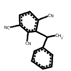 [CH2]C(c1ccccc1)c1c(C#N)ccc(C#N)c1C#N